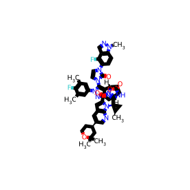 Cc1cc(-n2nc3c(c2-n2ccn(-c4ccc5c(cnn5C)c4F)c2=O)[C@@H]2CC[C@H](C3)N2C(=O)c2cc3cc([C@@H]4CCOC(C)(C)C4)cnc3n2[C@@]2(c3noc(=O)[nH]3)C[C@@H]2C)cc(C)c1F